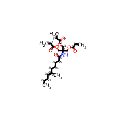 C=CC(=O)OCC(COC(=O)C=C)(COC(=O)C=C)NC(=O)CCCC/C(C)=C/CCC